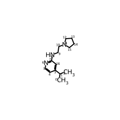 CC(C)c1ccnc(NCCN2CCCC2)c1